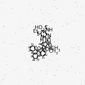 CCSc1nc(NC(=O)O)c2ncn([C@H]3[C@@H]4OC(C)(C)O[C@@H]4[C@]4(COC(c5ccccc5)(c5ccccc5)c5ccccc5)C[C@H]34)c2n1